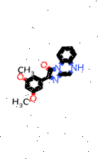 COc1cc(OC)cc(-c2nc3c[nH]c4ccccc4n-3c2=O)c1